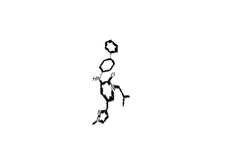 CC(C)Cn1cc(-c2ccn(C)n2)cc(N[C@H]2CC[C@@H](c3ccccc3)CC2)c1=O